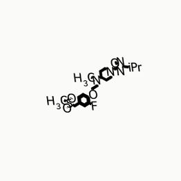 CC(C)c1noc(N2CCC(N(C)CCOc3ccc(CS(C)(=O)=O)cc3F)CC2)n1